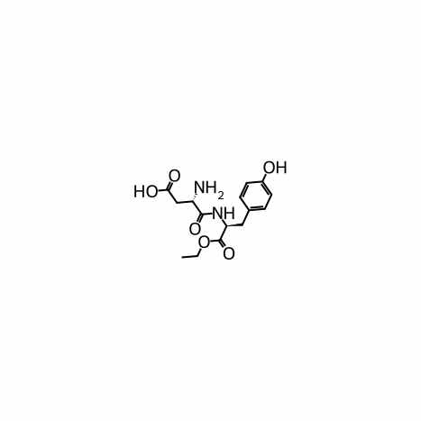 CCOC(=O)[C@H](Cc1ccc(O)cc1)NC(=O)[C@@H](N)CC(=O)O